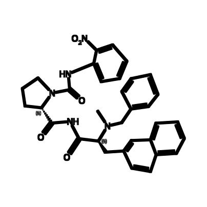 CN(Cc1ccccc1)[C@@H](Cc1ccc2ccccc2c1)C(=O)NC(=O)[C@@H]1CCCN1C(=O)Nc1ccccc1[N+](=O)[O-]